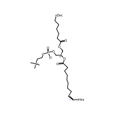 CCCCCC/C=C\CCCCCCCC(=O)O[C@H](COC(=O)CCCCCCCCCCCCCCC)COP(=O)([O-])OCC[N+](C)(C)C